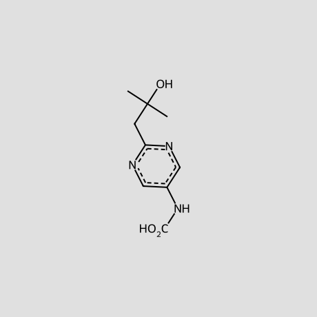 CC(C)(O)Cc1ncc(NC(=O)O)cn1